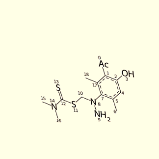 CC(=O)c1c(O)cc(C)c(N(N)CSC(=S)N(C)C)c1C